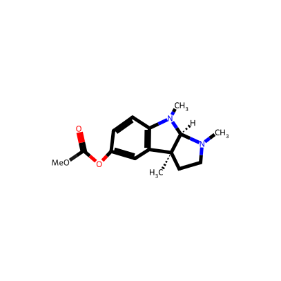 COC(=O)Oc1ccc2c(c1)[C@]1(C)CCN(C)[C@@H]1N2C